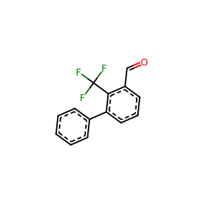 O=Cc1cccc(-c2ccccc2)c1C(F)(F)F